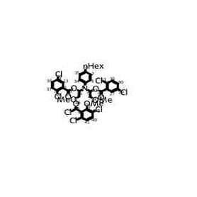 CCCCCCc1ccc(N(C(COC)OC(=O)c2cc(Cl)ccc2Cl)C(COC)OC(=O)c2cc(Cl)ccc2Cl)cc1.COc1c(Cl)ccc(Cl)c1C(=O)Cl